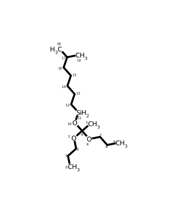 CCCOC(C)(OCCC)O[SiH2]CCCCCC(C)C